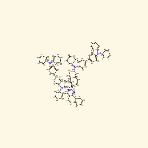 c1ccc(-n2c3ccccc3c3cc(-c4ccc5c(c4)c4ccccc4n5-c4ccc5cc(-c6nc(-c7ccccc7-n7c8ccccc8c8cc(-c9ccc%10c(c9)c9ccccc9n%10-c9ccccc9)ccc87)c7ccc8ccccc8c7n6)ccc5c4)ccc32)cc1